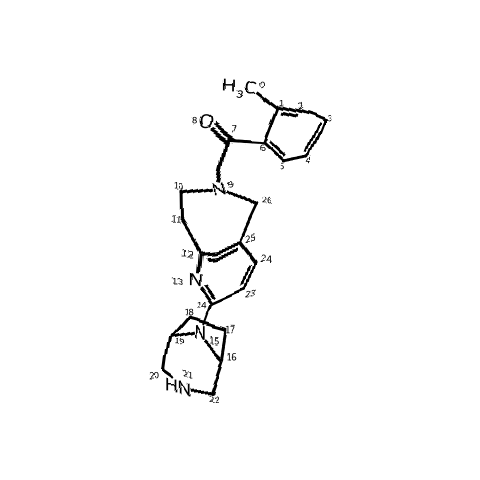 Cc1ccccc1C(=O)N1CCc2nc(N3C4CCC3CNC4)ccc2C1